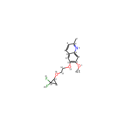 CCOc1cc2nc(C)ccc2cc1OCCOC1CC1(F)F